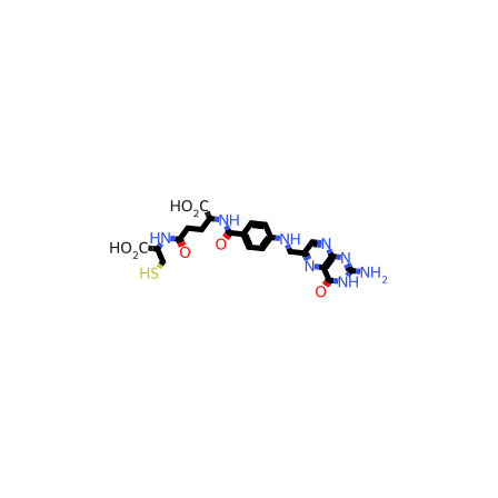 Nc1nc2ncc(CNc3ccc(C(=O)NC(CCC(=O)NC(CS)C(=O)O)C(=O)O)cc3)nc2c(=O)[nH]1